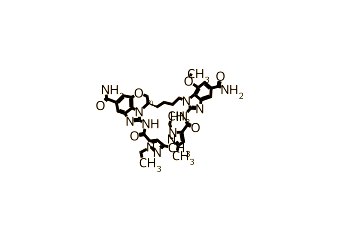 CCn1nc(C)cc1C(=O)Nc1nc2cc(C(N)=O)cc(OC)c2n1CCCC[C@@H]1COc2cc(C(N)=O)cc3nc(NC(=O)c4cc(C)nn4CC)n1c23